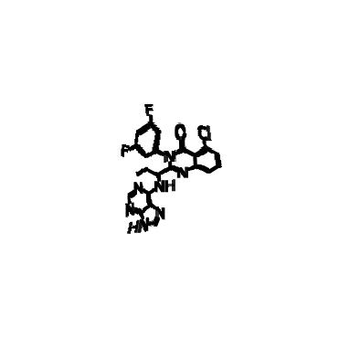 CCC(Nc1ncnc2[nH]cnc12)c1nc2cccc(Cl)c2c(=O)n1-c1cc(F)cc(F)c1